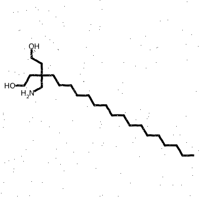 CCCCCCCCCCCCCCCCCC(CN)(CCO)CCO